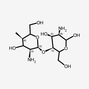 C[C@H]1C(CO)O[C@@H](O[C@@H]2C(CO)OC(O)[C@H](N)[C@@H]2O)[C@@H](N)C1O